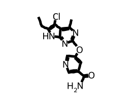 CCc1[nH]c2nc(Oc3cncc(C(N)=O)c3)nc(C)c2c1Cl